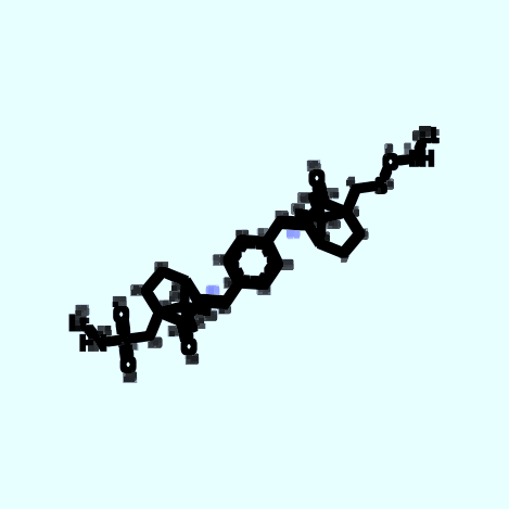 CCBOSCC12CCC(/C(=C\c3ccc(/C=C4/C(=O)C5(CS(=O)(=O)NCC)CCC4C5(C)C)cc3)C1=O)C2(C)C